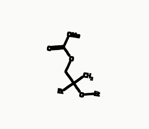 CCOC(C)(CC)COC(=O)OC